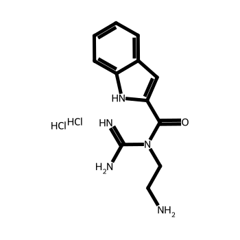 Cl.Cl.N=C(N)N(CCN)C(=O)c1cc2ccccc2[nH]1